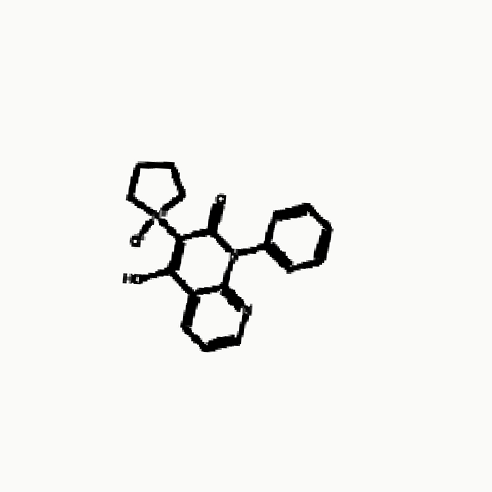 O=c1c([N+]2([O-])CCCC2)c(O)c2cccnc2n1-c1ccccc1